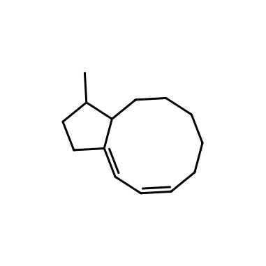 CC1CCC2=CC=CCCCCCC21